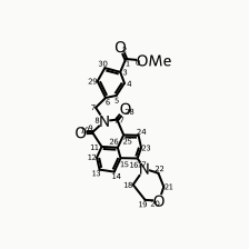 COC(=O)c1ccc(CN2C(=O)c3cccc4c(N5CCOCC5)ccc(c34)C2=O)cc1